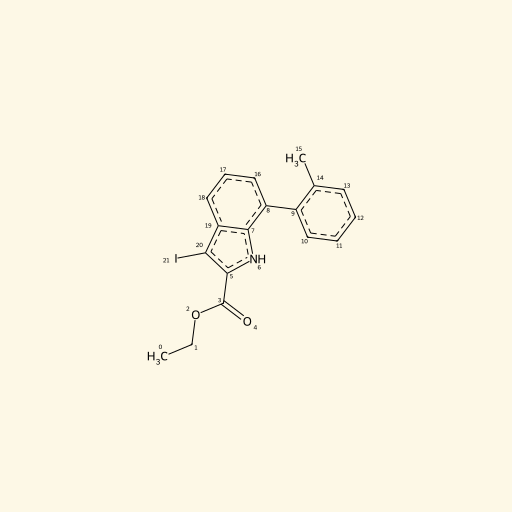 CCOC(=O)c1[nH]c2c(-c3ccccc3C)cccc2c1I